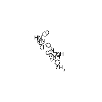 Cc1cccc(C2(NC(=O)C(CO)N3Cc4ccc(-c5nc(NC6CCOCC6)ncc5Cl)cc4C3=O)CC2)c1